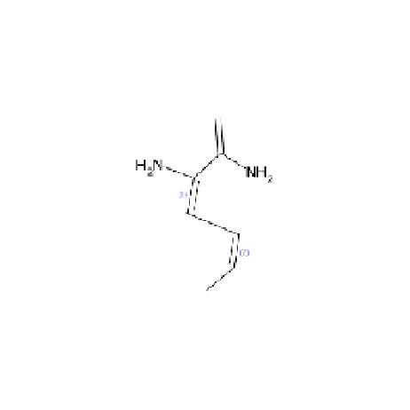 C=C(N)/C(N)=C\C=C/C